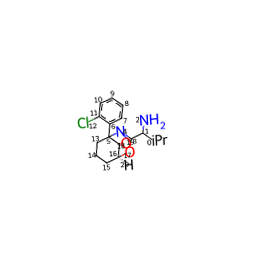 CC(C)C(N)C1=NC2(c3ccccc3Cl)CCC[C@H](O1)C2=O